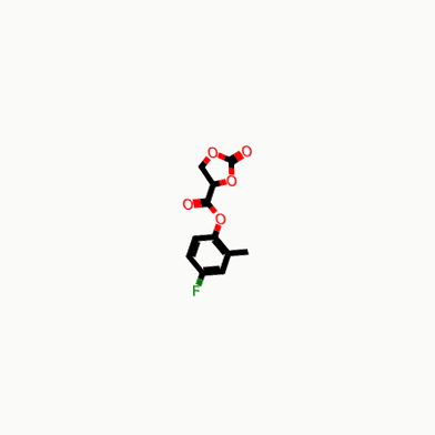 Cc1cc(F)ccc1OC(=O)C1COC(=O)O1